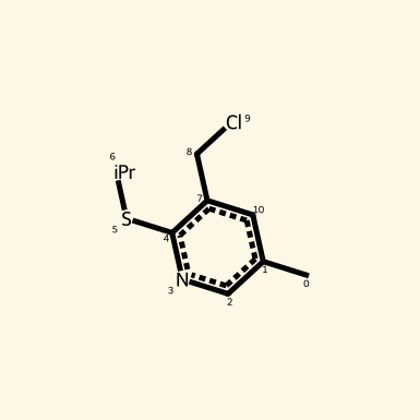 Cc1cnc(SC(C)C)c(CCl)c1